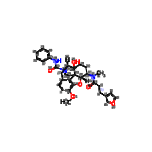 COc1ccc2c3c1O[C@H]1[C@H](N(C)C(=O)/C=C/c4ccoc4)CC[C@@]4(O)[C@@H](C2)N(C(=O)Nc2ccccc2)CCC314